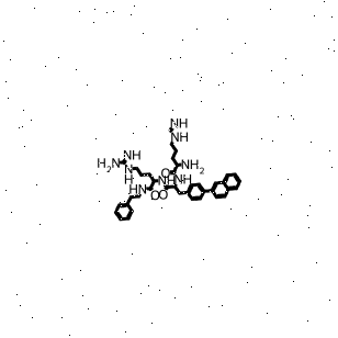 N=CNCCCC(N)C(=O)NC(Cc1ccc(-c2ccc3ccccc3c2)cc1)C(=O)NC(CCCNC(=N)N)C(=O)NCCc1ccccc1